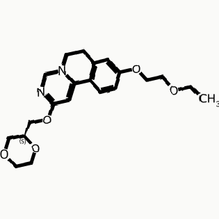 CCOCCOc1ccc2c(c1)CCN1CN=C(OC[C@@H]3COCCO3)C=C21